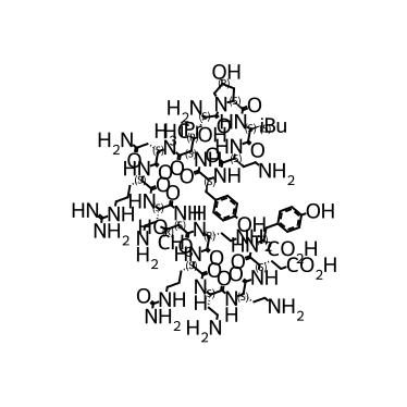 CC[C@H](C)[C@H](NC(=O)[C@@H]1C[C@@H](O)CN1C(=O)[C@@H](N)C(C)C)C(=O)N[C@@H](CCN)C(=O)N[C@@H](Cc1ccc(O)cc1)C(=O)N[C@H](C(=O)N[C@@H](CC(N)=O)C(=O)N[C@@H](CCCNC(=N)N)C(=O)N[C@@H](CCN)C(=O)N[C@H](C(=O)N[C@H](CCN)C(=O)N[C@@H](CCCNC(N)=O)C(=O)N[C@@H](CCN)C(=O)N[C@@H](CCN)C(=O)N[C@@H](CCC(=O)O)C(=O)N[C@@H](Cc1ccc(O)cc1)C(=O)O)[C@@H](C)O)[C@@H](C)O